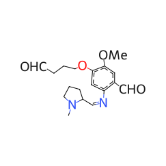 COc1cc(C=O)c(/N=C\C2CCCN2C)cc1OCCCC=O